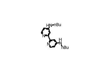 CCCCNc1ccnc(-c2cc(NCCCC)ccn2)c1